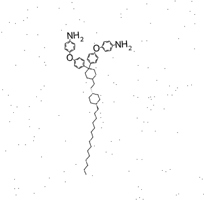 CCCCCCCCCCCCCCC[C@H]1CC[C@H](CCC2CCC(c3ccc(Oc4ccc(N)cc4)cc3)(c3ccc(Oc4ccc(N)cc4)cc3)CC2)CC1